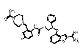 CC(=O)N1CCN(Cc2cc(F)ccc2NC(=O)OCC(Oc2cccc3sc(C(=N)N)cc23)c2ccccc2)CC1